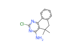 CC1(C)Cc2ccccc2-c2nc(Cl)nc(N)c21